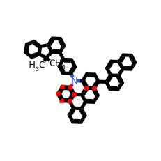 CC1(C)c2ccccc2-c2cccc(-c3ccc(N(c4ccc(-c5cccc6c5ccc5ccccc56)cc4)c4ccccc4-c4ccccc4-c4ccccc4-c4ccccc4)cc3)c21